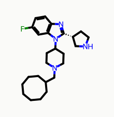 Fc1ccc2nc([C@@H]3CCNC3)n(C3CCN(CC4CCCCCCC4)CC3)c2c1